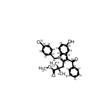 COC(=O)C(C)(C)Cc1c(C(=O)c2ccccc2)c2cc(O)ccc2n1Cc1ccc(Cl)cc1